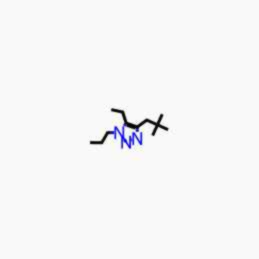 CCCn1nnc(CC(C)(C)C)c1CC